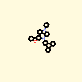 c1ccc(-n2c3ccccc3c3c(N(c4ccc5c(c4)oc4ccccc45)c4ccc5c6ccccc6c6ccccc6c5c4)cccc32)cc1